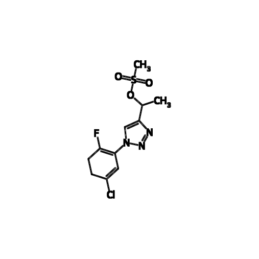 CC(OS(C)(=O)=O)c1cn(C2=C(F)CCC(Cl)=C2)nn1